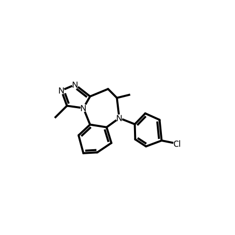 Cc1nnc2n1-c1ccccc1N(c1ccc(Cl)cc1)C(C)C2